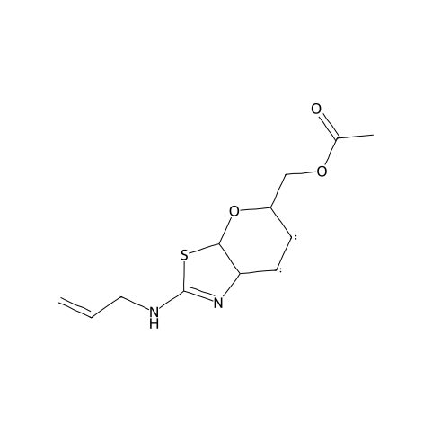 C=CCNC1=NC2[C][C]C(COC(C)=O)OC2S1